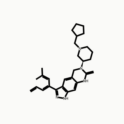 C=C/C=C(\C=C(C)C)c1n[nH]c2cc3c(cc12)CN([C@@H]1CCCN(CC2CCCC2)C1)C(=C)N3